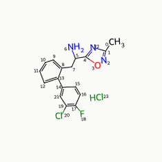 Cc1noc(C(N)Cc2ccccc2-c2ccc(F)c(Cl)c2)n1.Cl